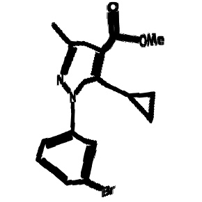 COC(=O)c1c(C)nn(-c2cccc(Br)c2)c1C1CC1